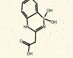 O=C(O)CC1=NS(O)(O)c2ccccc2N1